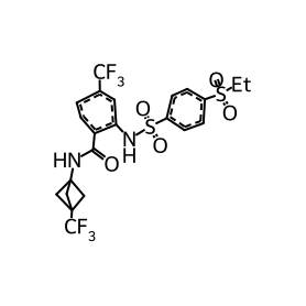 CCS(=O)(=O)c1ccc(S(=O)(=O)Nc2cc(C(F)(F)F)ccc2C(=O)NC23CC(C(F)(F)F)(C2)C3)cc1